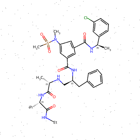 CCNC(=O)[C@@H](NC(=O)[C@H](C)NC[C@H](Cc1ccccc1)NC(=O)c1cc(C(=O)N[C@H](C)c2cccc(Cl)c2)cc(N(C)S(C)(=O)=O)c1)C(C)C